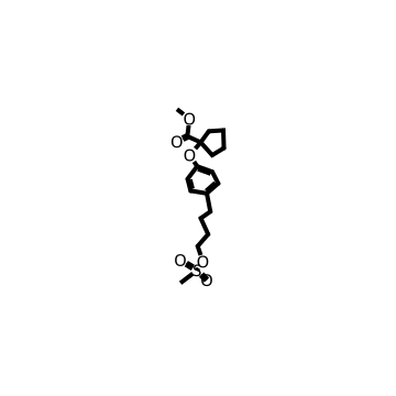 COC(=O)C1(Oc2ccc(CCCCOS(C)(=O)=O)cc2)CCCC1